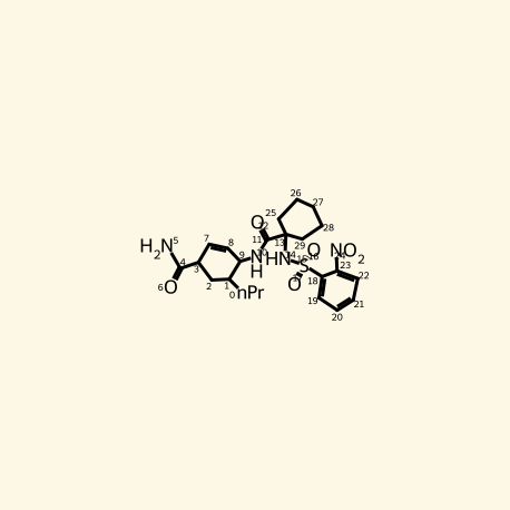 CCCC1CC(C(N)=O)C=CC1NC(=O)C1(NS(=O)(=O)c2ccccc2[N+](=O)[O-])CCCCC1